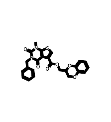 Cn1c(=O)n(Cc2ccccc2)c(=O)c2c(C(=O)OCC3COc4ccccc4O3)csc21